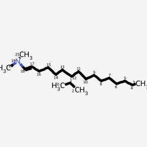 CCC.CCCCCCCCCCCCCCC=CN(C)C